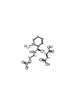 CN1CCCCC1C(=O)NCCO[N+](=O)[O-].O=C(O)C=CC(=O)O